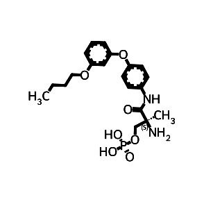 CCCCOc1cccc(Oc2ccc(NC(=O)[C@@](C)(N)COP(=O)(O)O)cc2)c1